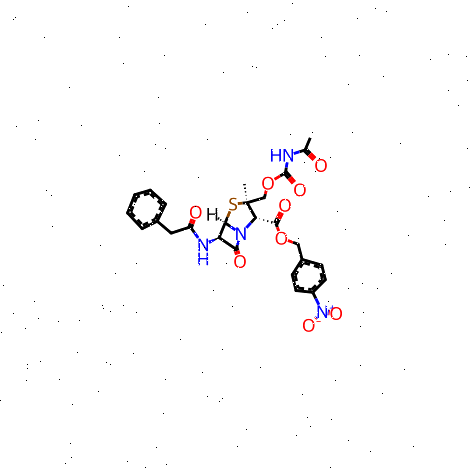 CC(=O)NC(=O)OC[C@]1(C)S[C@@H]2[C@H](NC(=O)Cc3ccccc3)C(=O)N2[C@H]1C(=O)OCc1ccc([N+](=O)[O-])cc1